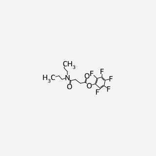 CCCN(CCC)C(=O)CCC(=O)Oc1c(F)c(F)c(F)c(F)c1F